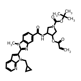 C=CC(=O)OC1CN(C(=O)OC(C)(C)C)CC1NC(=O)c1ccc2c(c1)nc(-c1cc3cccnc3n1CC1CC1)n2C